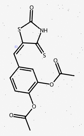 CC(=O)Oc1ccc(/C=C2/SC(=O)NC2=S)cc1OC(C)=O